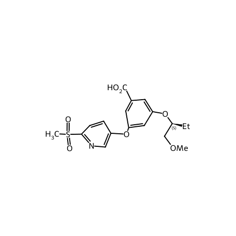 CC[C@@H](COC)Oc1cc(Oc2ccc(S(C)(=O)=O)nc2)cc(C(=O)O)c1